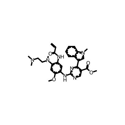 C=CC(=O)Nc1cc(Nc2ncc(C(=O)OC)c(-c3cn(C)c4ccccc34)n2)c(OC)cc1N(C)CCN(C)C